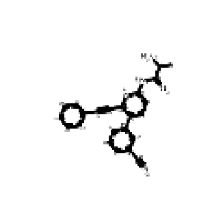 CC(N)C(=O)Nc1ccc(-c2cccc(C#N)c2)c(C#Cc2ccccc2)n1